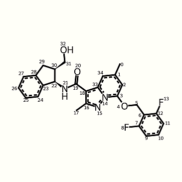 Cc1cc(OCc2c(F)cccc2F)n2nc(C)c(C(=O)N[C@H]3c4ccccc4C[C@H]3CO)c2c1